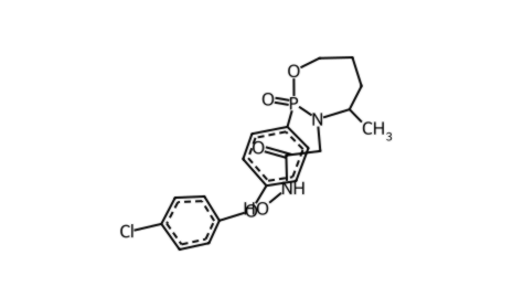 CC1CCCOP(=O)(c2ccc(Oc3ccc(Cl)cc3)cc2)N1CC(=O)NO